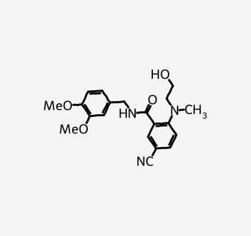 COc1ccc(CNC(=O)c2cc(C#N)ccc2N(C)CCO)cc1OC